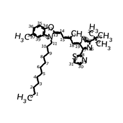 CCCCCCCCCCCCN1\C(=C/C=C(C)/C=C2\N=C(C(C)(C)C)N=C2c2nccs2)Oc2ccc(C)cc21